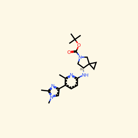 Cc1nc(N[C@@H]2CN(C(=O)OC(C)(C)C)CC23CC3)ccc1-c1cn(C)c(C)n1